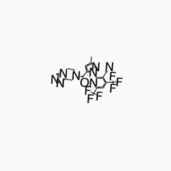 Cc1cc(C(=O)N2CCn3cnnc3C2)n(-c2nc(C(F)(F)F)cc(C(F)(F)F)c2C#N)n1